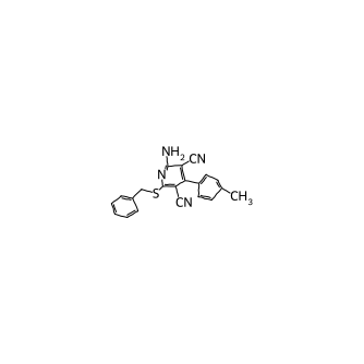 Cc1ccc(-c2c(C#N)c(N)nc(SCc3ccccc3)c2C#N)cc1